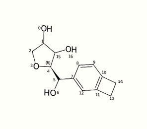 OC1CO[C@H](C(O)c2ccc3c(c2)CC3)C1O